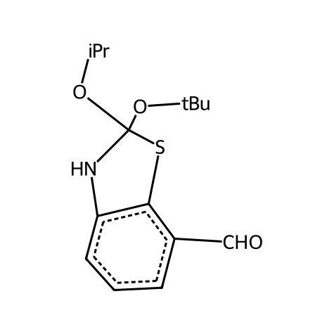 CC(C)OC1(OC(C)(C)C)Nc2cccc(C=O)c2S1